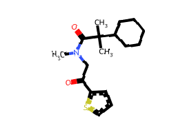 CN(CC(=O)c1cccs1)C(=O)C(C)(C)C1CCCCC1